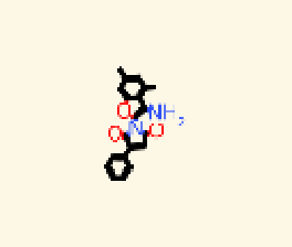 Cc1cc(C)c2c(N)c(N3C(=O)C=C(c4ccccc4)C3=O)oc2c1